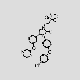 CS(=O)(=O)CCN1CC(c2cccc(Oc3cnccn3)c2)N(c2ccc(Oc3ccc(Cl)cc3)cc2)C1=O